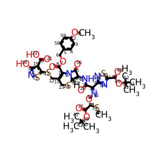 COc1ccc(COC(=O)C2=C(CSc3snc(O)c3C(=O)O)CS[C@H]3[C@H](NC(=O)/C(=N\O[C@H](SC)C(=O)OC(C)(C)C)c4nsc(C(=O)OC(C)(C)C)n4)C(=O)N23)cc1